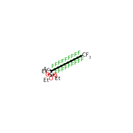 CCO[Si](OCC)(OCC)C(C(C)=O)C(F)(F)C(F)(F)C(F)(F)C(F)(F)C(F)(F)C(F)(F)C(F)(F)C(F)(F)C(F)(F)C(F)(F)F